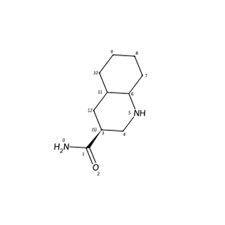 NC(=O)[C@@H]1CNC2CCCCC2C1